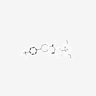 CCOP(=O)(CC[C@H](C(=O)O)C(=O)N1CCC(c2ccc(C(F)(F)F)cc2)CC1)OCC